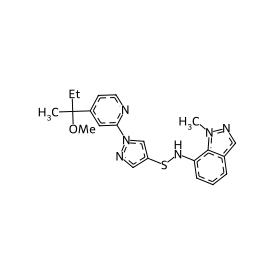 CCC(C)(OC)c1ccnc(-n2cc(SNc3cccc4cnn(C)c34)cn2)c1